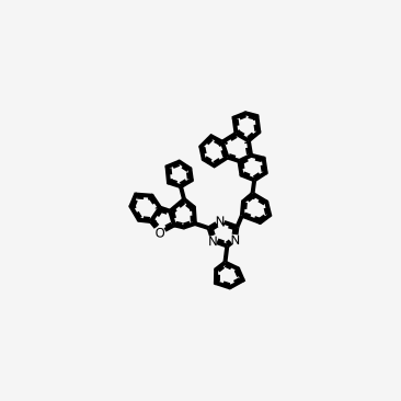 c1ccc(-c2nc(-c3cccc(-c4ccc5c6ccccc6c6ccccc6c5c4)c3)nc(-c3cc(-c4ccccc4)c4c(c3)oc3ccccc34)n2)cc1